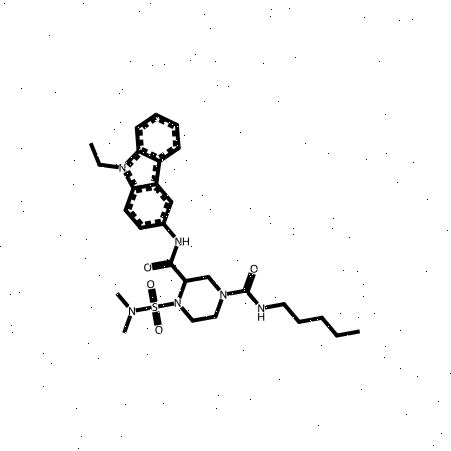 CCCCCNC(=O)N1CCN(S(=O)(=O)N(C)C)C(C(=O)Nc2ccc3c(c2)c2ccccc2n3CC)C1